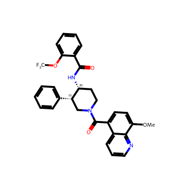 COc1ccc(C(=O)N2CC[C@@H](NC(=O)c3ccccc3OC(F)(F)F)[C@@H](c3ccccc3)C2)c2cccnc12